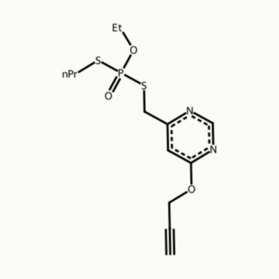 C#CCOc1cc(CSP(=O)(OCC)SCCC)ncn1